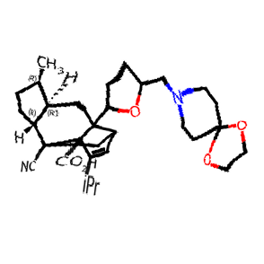 CC(C)C1=CC2CC3(C#N)[C@@H]4CC[C@@H](C)[C@H]4CC2(C2CCC(CN4CCC5(CC4)OCCO5)O2)C13C(=O)O